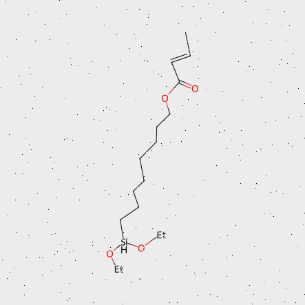 CC=CC(=O)OCCCCCCCC[SiH](OCC)OCC